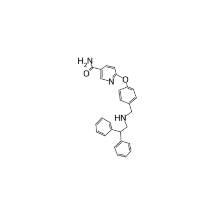 NC(=O)c1ccc(Oc2ccc(CNCC(c3ccccc3)c3ccccc3)cc2)nc1